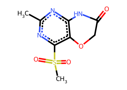 Cc1nc2c(c(S(C)(=O)=O)n1)OCC(=O)N2